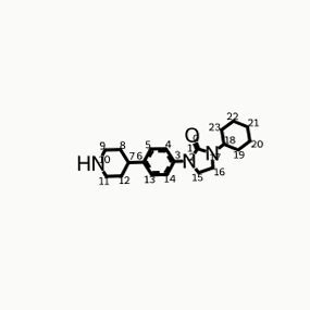 O=C1N(c2ccc(C3CCNCC3)cc2)CCN1C1CCCCC1